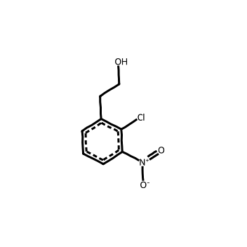 O=[N+]([O-])c1cccc(CCO)c1Cl